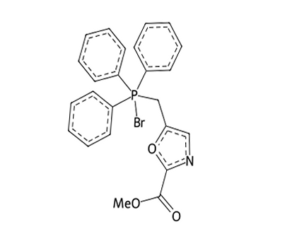 COC(=O)c1ncc(CP(Br)(c2ccccc2)(c2ccccc2)c2ccccc2)o1